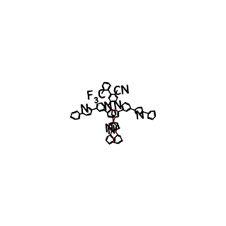 N#Cc1cc(-n2c3ccc(-c4ccc(-c5ccccc5)nc4)cc3c3cc(-c4ccc(-c5ccccc5)nc4)ccc32)c(-n2c3ccc(-c4ccc(-c5ccccc5)nc4)cc3c3cc(-c4ccc(-c5ccccc5)nc4)ccc32)cc1-c1ccccc1C(F)(F)F